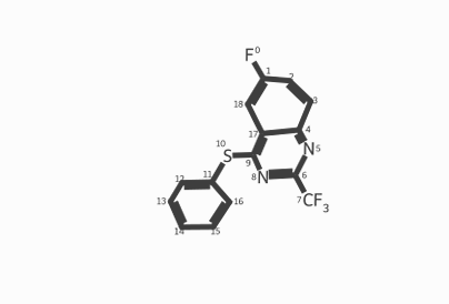 Fc1ccc2nc(C(F)(F)F)nc(Sc3ccccc3)c2c1